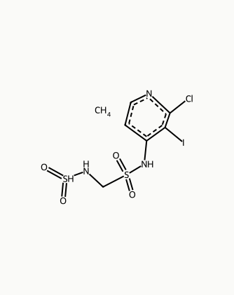 C.O=[SH](=O)NCS(=O)(=O)Nc1ccnc(Cl)c1I